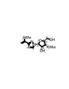 C=C(NC)c1ncn([C@H]2O[C@@H](CO)[C@H](OC)[C@@H]2O)n1